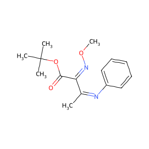 CON=C(C(=O)OC(C)(C)C)C(C)=Nc1ccccc1